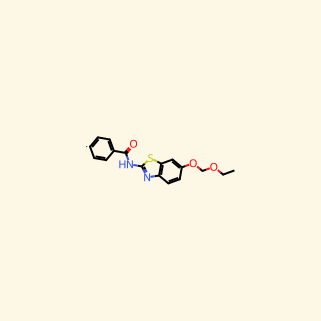 CCOCOc1ccc2nc(NC(=O)c3cc[c]cc3)sc2c1